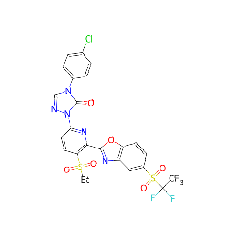 CCS(=O)(=O)c1ccc(-n2ncn(-c3ccc(Cl)cc3)c2=O)nc1-c1nc2cc(S(=O)(=O)C(F)(F)C(F)(F)F)ccc2o1